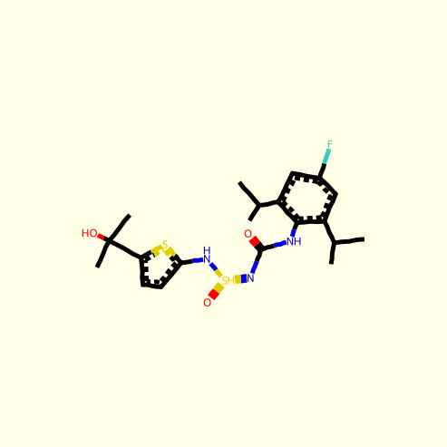 CC(C)c1cc(F)cc(C(C)C)c1NC(=O)/N=[SH](=O)\Nc1ccc(C(C)(C)O)s1